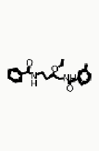 CCOC(CCNC(=O)c1ccccc1)CNC(=O)c1cccc(C)c1